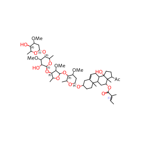 C/C=C(\C)C(=O)OC1CC2C(CC=C3CC(O[C@H]4CC(OC)[C@H](OC5OC(C)[C@@H](O[C@@H]6OC(C)[C@@H](O[C@H]7CC(OC)[C@H](O)C(C)O7)C(OC)C6O)C5OC)C(C)O4)CCC32C)C2(O)CCC(C(C)=O)C12C